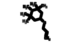 C=CCOC1CC(C)(C)N(C)C(C)(C)C1